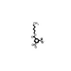 CCCCCCOC(=O)c1cc([N+](=O)[O-])cc([N+](=O)[O-])c1